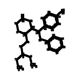 CCN(CC)CCN1CCNCC1C(Cc1ccccc1)c1ccc(Cl)cc1